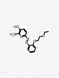 CCOCCOc1ccccc1N=Nc1ccc(O)c(N)n1